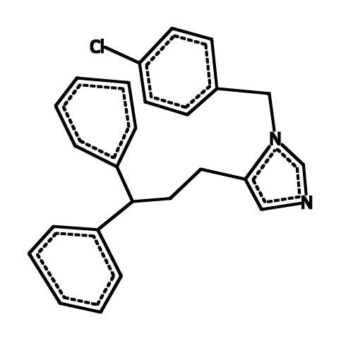 Clc1ccc(Cn2cncc2CCC(c2ccccc2)c2ccccc2)cc1